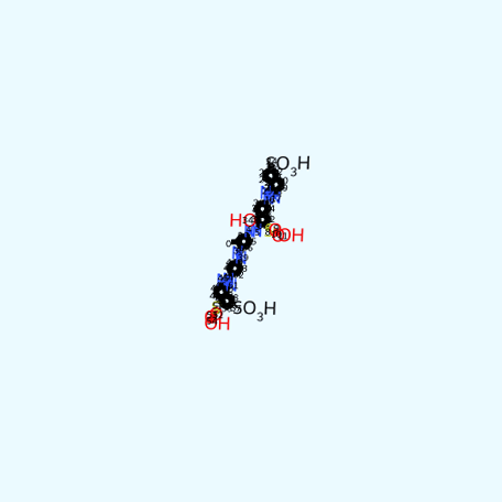 Cc1cc(N=Nc2c(SOOO)cc3cc(-n4nc5ccc6cc(S(=O)(=O)O)ccc6c5n4)ccc3c2O)ccc1N=Nc1ccc(-n2nc3ccc4c(SOOO)cc(S(=O)(=O)O)cc4c3n2)cc1